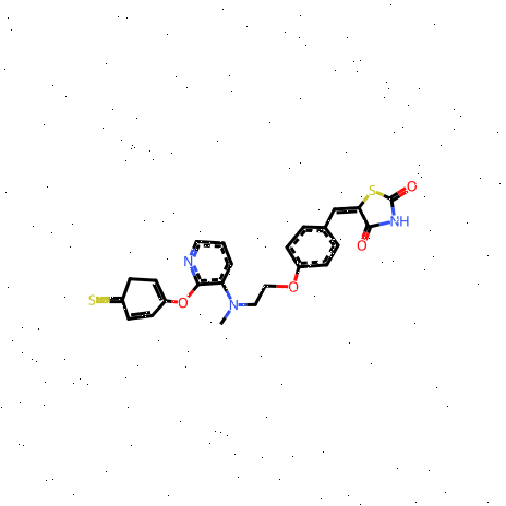 CN(CCOc1ccc(C=C2SC(=O)NC2=O)cc1)c1cccnc1OC1=CCC(=S)C=C1